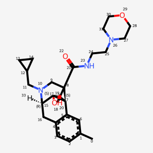 Cc1ccc2c(c1)[C@]13CCN(CC4CC4)[C@H](C2)[C@]1(O)CC(C(=O)NCCN1CCOCC1)C3